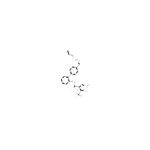 C=CCO/N=C\c1ccc(-c2ccccc2NC(=O)c2cn(C)nc2C(F)(F)F)cc1